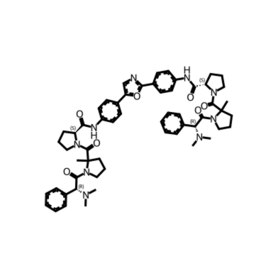 CN(C)[C@@H](C(=O)N1CCCC1(C)C(=O)N1CCC[C@H]1C(=O)Nc1ccc(-c2cnc(-c3ccc(NC(=O)[C@@H]4CCCN4C(=O)C4(C)CCCN4C(=O)[C@@H](c4ccccc4)N(C)C)cc3)o2)cc1)c1ccccc1